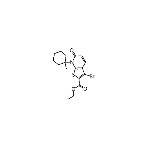 CCOC(=O)c1sc2c(ccc(=O)n2C2(C)CCCCC2)c1Br